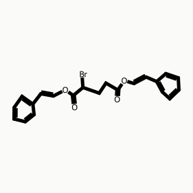 O=C(CCC(Br)C(=O)OC=Cc1ccccc1)OC=Cc1ccccc1